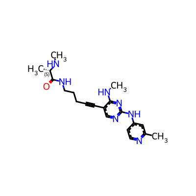 CNc1nc(Nc2ccnc(C)c2)ncc1C#CCCCNC(=O)[C@H](C)NC